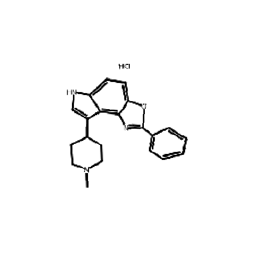 CN1CCC(c2c[nH]c3ccc4oc(-c5ccccc5)nc4c23)CC1.Cl